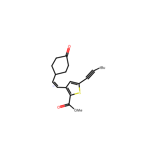 COC(=O)c1sc(C#CC(C)(C)C)cc1/C=C\C1CCC(=O)CC1